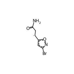 NC(=O)C[CH]c1cc(Br)no1